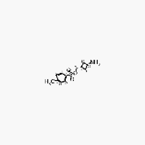 Cc1ccc(S(=O)(=O)OC[C@H]2C[C@H](N)C2)cc1